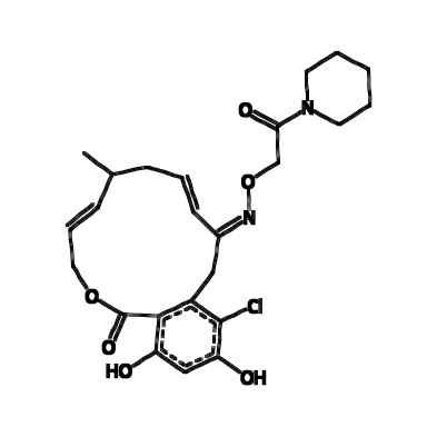 CC1/C=C/COC(=O)c2c(O)cc(O)c(Cl)c2CC(=N/OCC(=O)N2CCCCC2)/C=C/C1